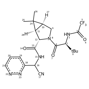 CC(C)(C)[C@H](NC(=O)C(F)(F)F)C(=O)N1C[C@H]2[C@@H]([C@H]1C(=O)NC(C#N)c1cccnn1)C2(C)C